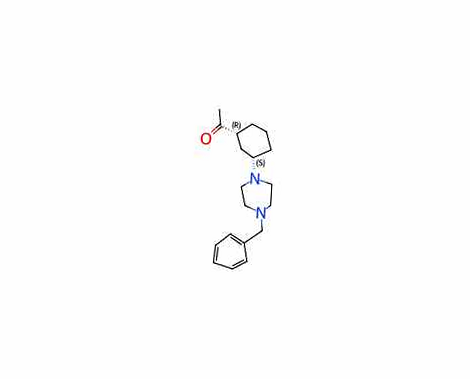 CC(=O)[C@@H]1CCC[C@H](N2CCN(Cc3ccccc3)CC2)C1